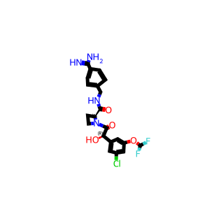 N=C(N)c1ccc(CNC(=O)[C@@H]2CCN2C(=O)[C@H](O)c2cc(Cl)cc(OC(F)F)c2)cc1